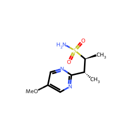 COc1cnc([C@@H](C)[C@H](C)S(N)(=O)=O)nc1